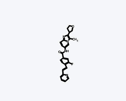 Cc1c(C2CCOC2)nc2ccc(NC(=O)c3ccc(C=Cc4ccccn4)c(F)c3)cn12